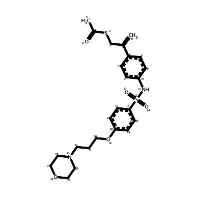 C=C(CSC(C)=O)c1ccc(NS(=O)(=O)c2ccc(OCCCN3CCOCC3)cc2)cc1